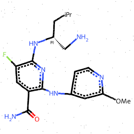 COc1cc(Nc2nc(N[C@@H](CN)CC(C)C)c(F)cc2C(N)=O)ccn1